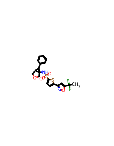 CC(F)(F)c1cc(-c2ccc(S(=O)(=O)NC34C(=O)OCC3C4c3ccccc3)s2)no1